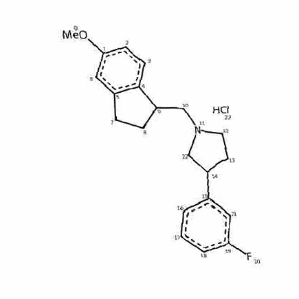 COc1ccc2c(c1)CCC2CN1CCC(c2cccc(F)c2)C1.Cl